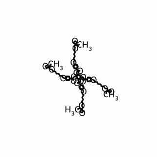 CCC1(COCCCCCCOc2ccc(C(=O)Oc3cc(OC(=O)c4ccc(OCCCCCCOCC5(CC)COC5)cc4)c(OC(=O)c4ccc(OCCCCCCOCC5(CC)COC5)cc4)cc3OC(=O)c3ccc(OCCCCCCOCC4(CC)COC4)cc3)cc2)COC1